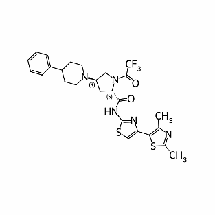 Cc1nc(C)c(-c2csc(NC(=O)[C@@H]3C[C@@H](N4CCC(c5ccccc5)CC4)CN3C(=O)C(F)(F)F)n2)s1